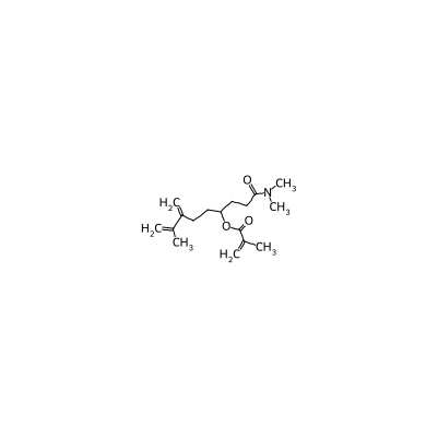 C=C(C)C(=C)CCC(CCC(=O)N(C)C)OC(=O)C(=C)C